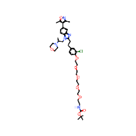 Cc1noc(C)c1-c1ccc2c(c1)nc(CCc1ccc(OCCOCCOCCOCCOCCNC(=O)OC(C)(C)C)c(Cl)c1)n2CC(C)N1CCOCC1